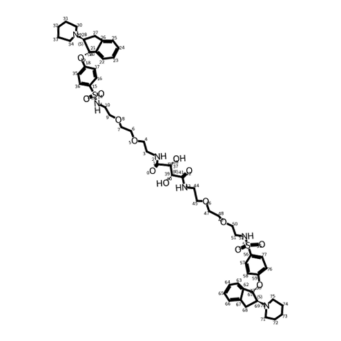 O=C(NCCOCCOCCNS(=O)(=O)c1ccc(O[C@H]2c3ccccc3C[C@@H]2N2CCCCC2)cc1)[C@H](O)[C@@H](O)C(=O)NCCOCCOCCNS(=O)(=O)c1ccc(O[C@H]2c3ccccc3C[C@@H]2N2CCCCC2)cc1